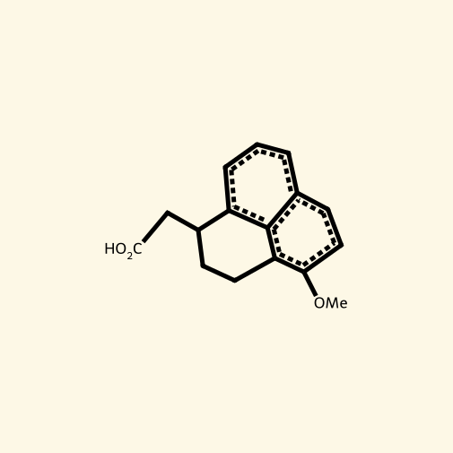 COc1ccc2cccc3c2c1CCC3CC(=O)O